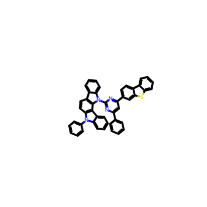 c1ccc(-c2cc(-c3ccc4c(c3)sc3ccccc34)nc(-n3c4ccccc4c4ccc5c(c6ccccc6n5-c5ccccc5)c43)n2)cc1